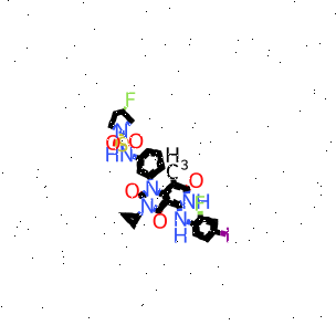 Cc1c(=O)[nH]c(Nc2ccc(I)cc2F)c2c(=O)n(C3CC3)c(=O)n(-c3cccc(NS(=O)(=O)N4CC[C@@H](F)C4)c3)c12